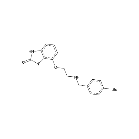 CC(C)(C)c1ccc(CNCCOc2cccc3c2[N]C(=S)N3)cc1